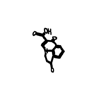 O=C(O)c1cn2c3c(cccc3c1=O)C(=O)CC2